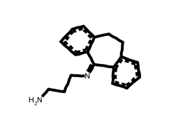 NCCCN=C1c2ccccc2CCc2ccccc21